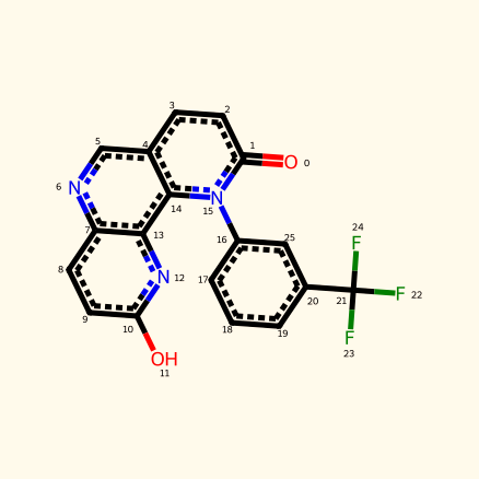 O=c1ccc2cnc3ccc(O)nc3c2n1-c1cccc(C(F)(F)F)c1